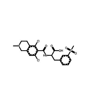 CN1CCc2c(cc(Cl)c(C(=O)NC(Cc3cccc(S(C)(=O)=O)c3)C(=O)O)c2Cl)C1